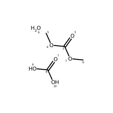 COC(=O)OC.O.O=C(O)O